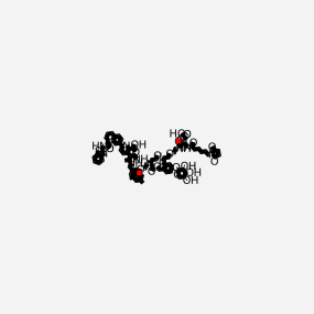 COCCN(CCOC12CC3(C)CC(C)(CC(CN/C(C)=C(\C=N)c4ccc(-c5ccc6c(c5)N(C(=O)Nc5nc7ccccc7s5)CCC6)nc4C(=O)O)(C3)C1)C2)C(=O)OCc1ccc(O[C@H]2OC[C@@H](O)[C@@H](O)[C@H]2O)cc1OCCOCCNC(=O)[C@H](CS(=O)(=O)O)NC(=O)CCCCCN1C(=O)C=CC1=O